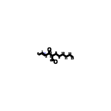 C/C=C/C(=O)C([C]=O)CCCCCC